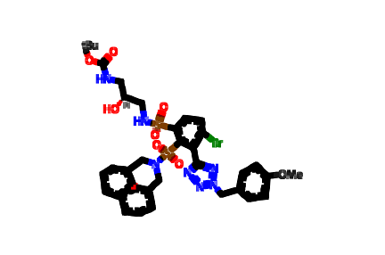 COc1ccc(Cn2nnc(-c3c(Br)ccc(S(=O)(=O)NC[C@H](O)CNC(=O)OC(C)(C)C)c3S(=O)(=O)N(Cc3ccccc3)Cc3ccccc3)n2)cc1